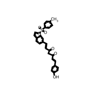 Cc1ccc(S(=O)(=O)n2ccc3ccc(/C=C/C(=O)CC(=O)/C=C/c4ccc(O)cc4)cc32)cc1